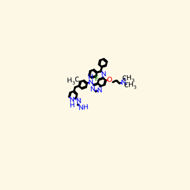 Cc1cc(Nc2ncnc3cc(OCCCN(C)C)c(N=C(c4ccccc4)c4ccccc4)c(F)c23)ccc1Cc1cc[nH]/c(=N\C=N)c1